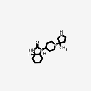 CC1(N2CCC(N3C(=O)N[C@H]4CCCC[C@@H]43)CC2)CCNC1